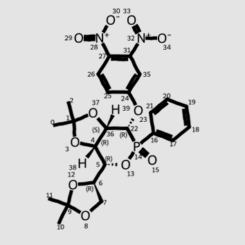 CC1(C)O[C@H]2[C@@H]([C@H]3COC(C)(C)O3)OP(=O)(c3ccccc3)[C@@H](Oc3ccc([N+](=O)[O-])c([N+](=O)[O-])c3)[C@H]2O1